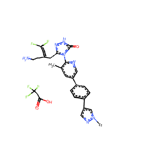 CCn1cc(-c2ccc(-c3cnc(-n4c(CC(CN)=C(F)F)n[nH]c4=O)c(C)c3)cc2)cn1.O=C(O)C(F)(F)F